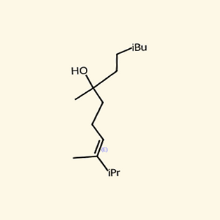 CCC(C)CCC(C)(O)CC/C=C(\C)C(C)C